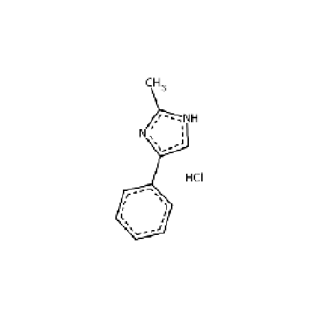 Cc1nc(-c2ccccc2)c[nH]1.Cl